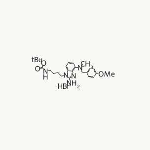 Br.COc1ccc(CN(C)c2cccc3c2nc(N)n3CCCCNC(=O)OC(C)(C)C)cc1